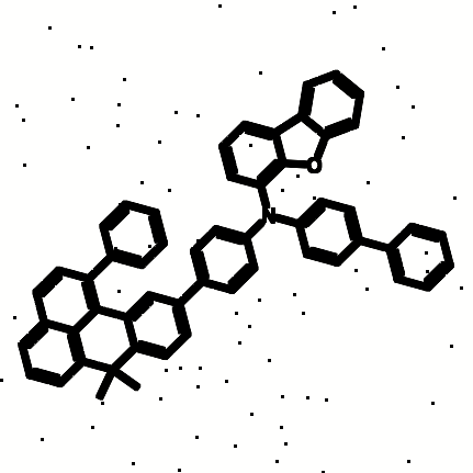 CC1(C)c2ccc(-c3ccc(N(c4ccc(-c5ccccc5)cc4)c4cccc5c4oc4ccccc45)cc3)cc2-c2c(-c3ccccc3)ccc3cccc1c23